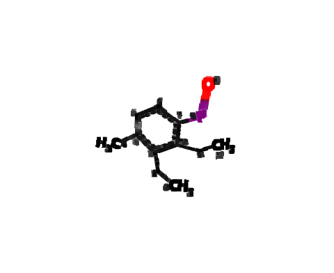 CCc1c(C)ccc(P=O)c1CC